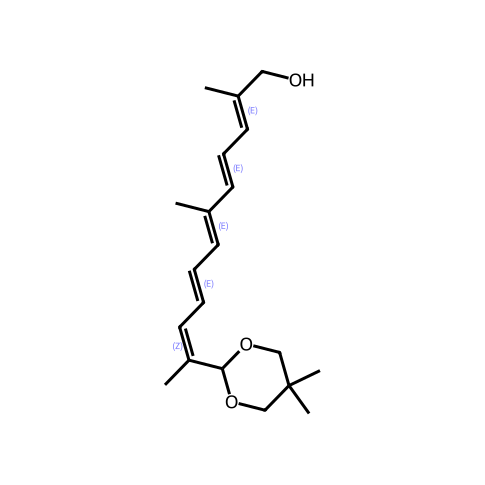 C/C(=C/C=C/C=C(C)/C=C/C=C(\C)CO)C1OCC(C)(C)CO1